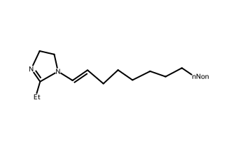 CCCCCCCCCCCCCCCC=CN1CCN=C1CC